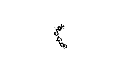 Cc1c(OC2CCN(C(=O)c3ccc(C(C)(F)F)cc3)CC2)ncnc1OC1CCN(S(C)(=O)=O)CC1